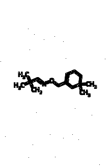 CC(C)(C)C=NOCC1=CCCC(C)(C)C1